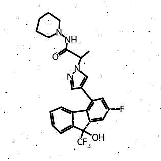 CC(C(=O)NN1CCCCC1)n1cc(-c2cc(F)cc3c2-c2ccccc2C3(O)C(F)(F)F)cn1